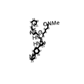 CNC(=O)CCCCC[C@H](NC(=O)c1cnc(CN2CCCC2)s1)c1ncc(-c2ccc(-n3cccn3)cc2)[nH]1